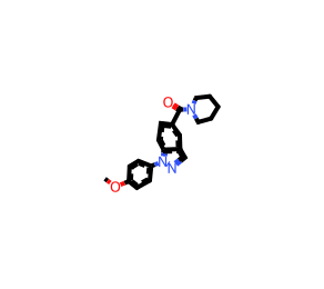 COc1ccc(-n2ncc3cc(C(=O)N4CCCCC4)ccc32)cc1